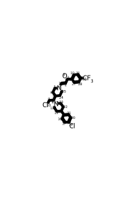 O=C(C=CN1CCC(C(CCl)N2CCC(c3ccc(Cl)cc3)CC2)CC1)c1ccc(C(F)(F)F)cc1